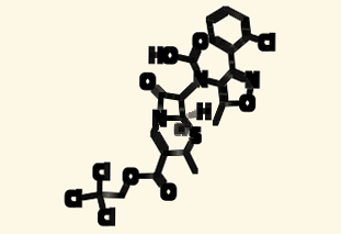 Cc1onc(-c2ccccc2Cl)c1N(C(=O)O)C1C(=O)N2C=C(C(=O)OCC(Cl)(Cl)Cl)C(C)S[C@H]12